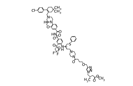 COC(=O)CC(C)Cn1cc(COCCCC(=O)N2CCN(CC[C@H](CSc3ccccc3)Nc3ccc(S(=O)(=O)NC(=O)c4ccc5c(c4)OC[C@@H]4CN(CC6=C(c7ccc(Cl)cc7)CCC(C)(C)C6)CCN54)cc3S(=O)(=O)CC(F)(F)F)CC2)nn1